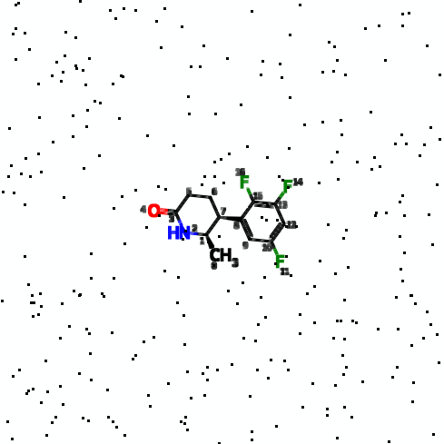 C[C@H]1NC(=O)CC[C@H]1c1cc(F)cc(F)c1F